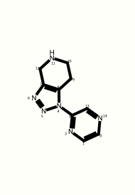 c1cnc(-n2nnc3c2CCNC3)cn1